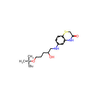 CC(C)(C)[Si](C)(C)OCCCC(O)CNc1ccc2c(c1)NC(=O)CS2